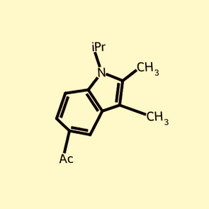 CC(=O)c1ccc2c(c1)c(C)c(C)n2C(C)C